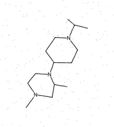 CC(C)N1CCC(N2CCN(C)CC2C)CC1